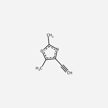 C#Cc1nc(C)oc1C